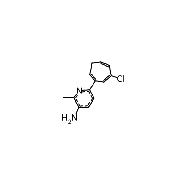 Cc1nc(C2=CCC=CC(Cl)=C2)ccc1N